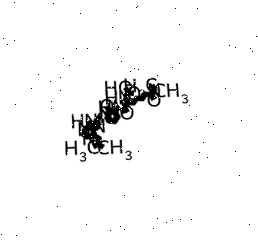 CC(C)Cc1ncnc2[nH]c(Cn3cccc(NC(=O)C(CCC=CC(=O)N(C)C)NC(=O)O)c3=O)nc12